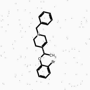 CC(Oc1ccccc1Br)C1=CCN(Cc2ccccc2)CC1